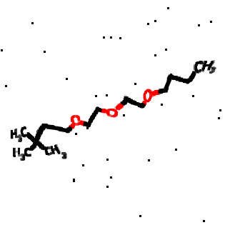 CCCCOCCOCCOCCC(C)(C)C